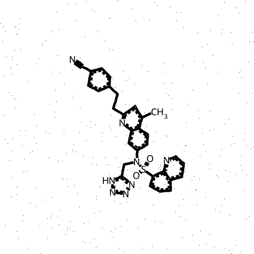 Cc1cc(CCc2ccc(C#N)cc2)nc2cc(N(Cc3nnn[nH]3)S(=O)(=O)c3cccc4cccnc34)ccc12